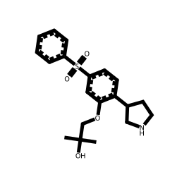 CC(C)(O)COc1cc(S(=O)(=O)c2ccccc2)ccc1C1CCNC1